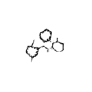 Fc1ccc(F)c(CN[C@H]2CCCN[C@H]2c2ccccc2)c1